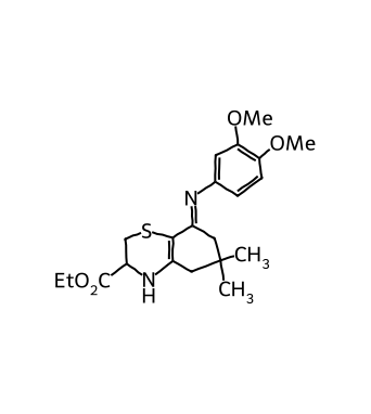 CCOC(=O)C1CSC2=C(CC(C)(C)C/C2=N\c2ccc(OC)c(OC)c2)N1